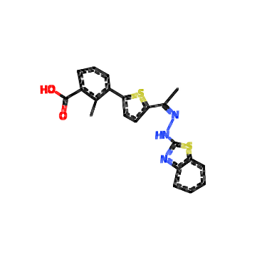 CC(=NNc1nc2ccccc2s1)c1ccc(-c2cccc(C(=O)O)c2C)s1